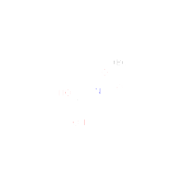 CC(O)C1(O)CCN(C(=O)OC(C)(C)C)C1